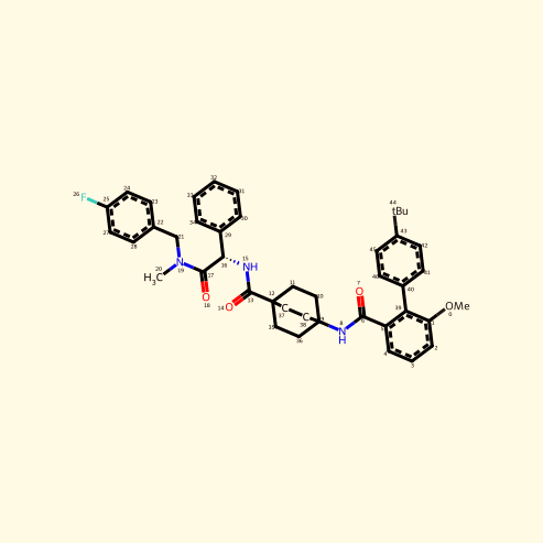 COc1cccc(C(=O)NC23CCC(C(=O)N[C@H](C(=O)N(C)Cc4ccc(F)cc4)c4ccccc4)(CC2)CC3)c1-c1ccc(C(C)(C)C)cc1